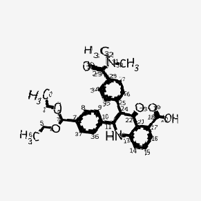 CCOC(OCC)c1ccc(C2Nc3cccc(C(=O)O)c3C(=O)C2c2ccc(C(=O)N(C)C)cc2)cc1